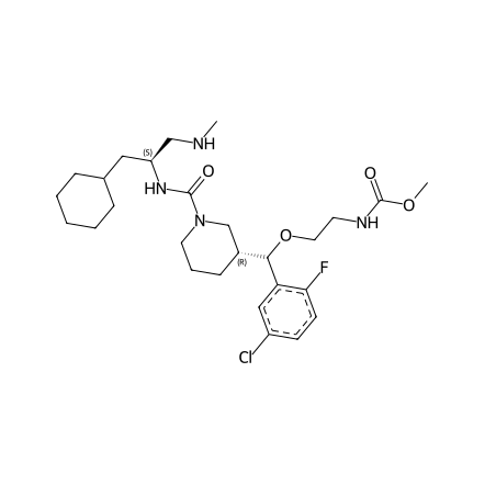 CNC[C@H](CC1CCCCC1)NC(=O)N1CCC[C@@H](C(OCCNC(=O)OC)c2cc(Cl)ccc2F)C1